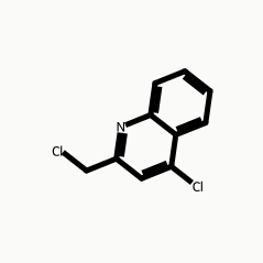 ClCc1cc(Cl)c2ccccc2n1